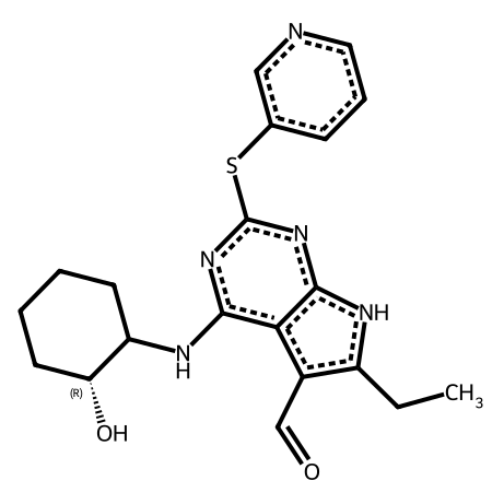 CCc1[nH]c2nc(Sc3cccnc3)nc(NC3CCCC[C@H]3O)c2c1C=O